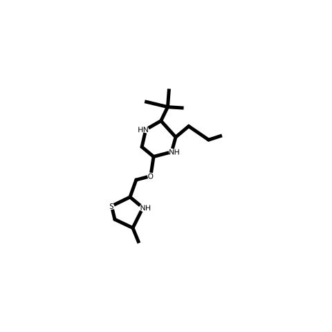 CCCC1NC(OCC2NC(C)CS2)CNC1C(C)(C)C